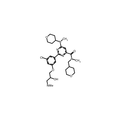 CNCC(O)COc1cc(Cl)cc(-c2nc(C(=O)N(C)CC3CCOCC3)cc(N(C)C3CCOCC3)n2)c1